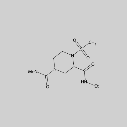 CCNC(=O)C1CN(C(=O)NC)CCN1S(C)(=O)=O